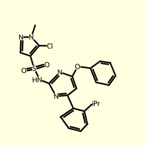 CC(C)c1ccccc1-c1cc(Oc2ccccc2)nc(NS(=O)(=O)c2cnn(C)c2Cl)n1